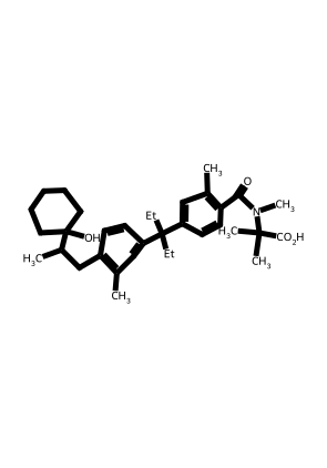 CCC(CC)(c1ccc(CC(C)C2(O)CCCCC2)c(C)c1)c1ccc(C(=O)N(C)C(C)(C)C(=O)O)c(C)c1